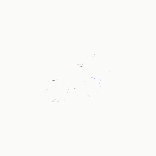 COC(=O)c1c(-c2ccccc2)ccn1Br